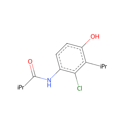 CC(C)C(=O)Nc1ccc(O)c(C(C)C)c1Cl